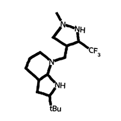 CN1CC(CN2CCCC3CC(C(C)(C)C)NC32)C(C(F)(F)F)N1